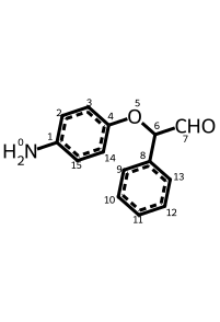 Nc1ccc(OC(C=O)c2ccccc2)cc1